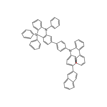 c1ccc(-c2ccccc2N(c2ccc(-c3ccc4c(c3)N(c3ccccc3)c3ccccc3[Si]4(c3ccccc3)c3ccccc3)cc2)c2ccc(-c3ccc4ccccc4c3)cc2)cc1